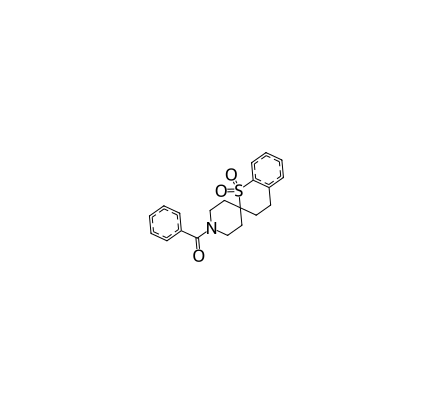 O=C(c1ccccc1)N1CCC2(CCc3ccccc3S2(=O)=O)CC1